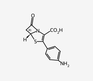 Nc1ccc(C2=C(C(=O)O)N3C(=O)C[C@H]3S2)cc1